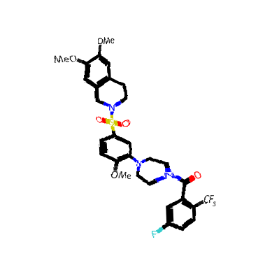 COc1cc2c(cc1OC)CN(S(=O)(=O)c1ccc(OC)c(N3CCN(C(=O)c4cc(F)ccc4C(F)(F)F)CC3)c1)CC2